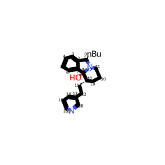 CCCC[C@H]1c2ccccc2[C@@]2(O)[C@@H](CCc3cccnc3)CCCN12